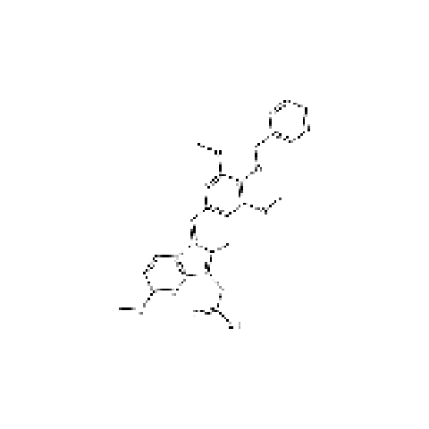 COc1ccc2c(c1)C(CC(=O)O)=C(C)C2=Cc1cc(OC)c(OCc2ccccc2)c(OC)c1